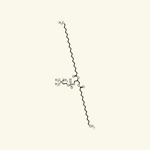 CCCCCCCCCCCCCCCCCCCCCCC(=O)OC(COC(=O)CCCCCCCCCCCCCCCC)COP(=O)(O)OCC[N+](C)(C)C